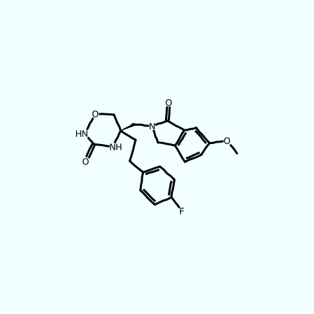 COc1ccc2c(c1)C(=O)N(C[C@]1(CCc3ccc(F)cc3)CONC(=O)N1)C2